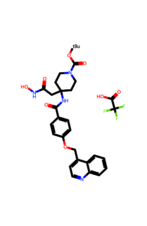 CC(C)(C)OC(=O)N1CCC(CC(=O)NO)(NC(=O)c2ccc(OCc3ccnc4ccccc34)cc2)CC1.O=C(O)C(F)(F)F